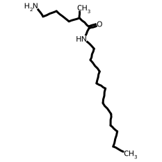 CCCCCCCCCCCNC(=O)C(C)CCCN